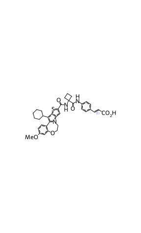 COc1ccc2c(c1)OCCn1c-2c(C2CCCCC2)c2sc(C(=O)NC3(C(=O)Nc4ccc(/C=C/C(=O)O)cc4)CCC3)cc21